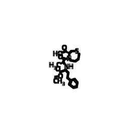 CCOC(=O)C(CCc1ccccc1)N[C@@H](C)C(=O)N1CCCCSC[C@@H]1C(=O)O